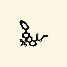 CCOC(=O)N1CCCC(NS(C)(=O)=O)C1Cc1cc(-c2ccccc2)ccc1F